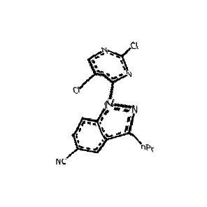 CCCc1nn(-c2nc(Cl)ncc2Cl)c2ccc(C#N)cc12